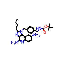 CCCCc1nc2c(N)nc3ccc(N)cc3c2n1Cc1ccc(CNC(=O)OC(C)(C)C)cc1